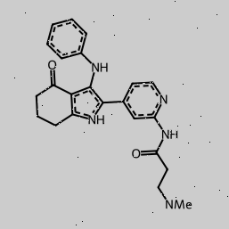 CNCCC(=O)Nc1cc(-c2[nH]c3c(c2Nc2ccccc2)C(=O)CCC3)ccn1